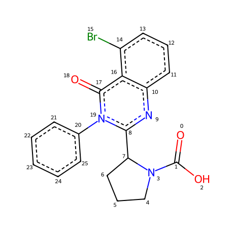 O=C(O)N1CCCC1c1nc2cccc(Br)c2c(=O)n1-c1ccccc1